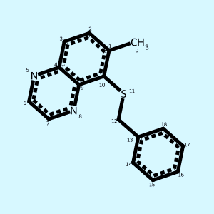 Cc1ccc2nccnc2c1SCc1ccccc1